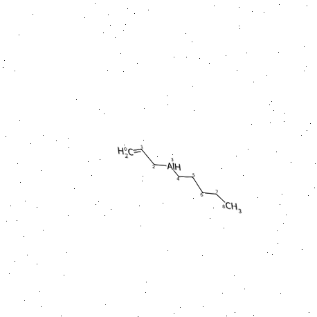 C=C[CH2][AlH][CH2]CCCC